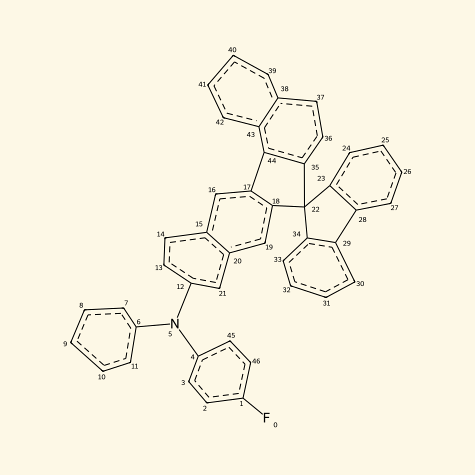 Fc1ccc(N(c2ccccc2)c2ccc3cc4c(cc3c2)C2(c3ccccc3-c3ccccc32)c2ccc3ccccc3c2-4)cc1